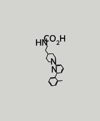 Cc1ccccc1-c1cccc(N2CCC(CCNC(=O)O)CC2)n1